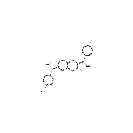 COc1ccc(C2=c3cc4cc5c(cc4cc3OC2=O)=C(c2ccc(C)cc2)C(=O)O5)cc1